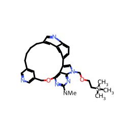 CNc1nc2c3c(cn(COCC[Si](C)(C)C)c3n1)-c1ccc3ncc(cc3c1)CCCCc1cncc(c1)CO2